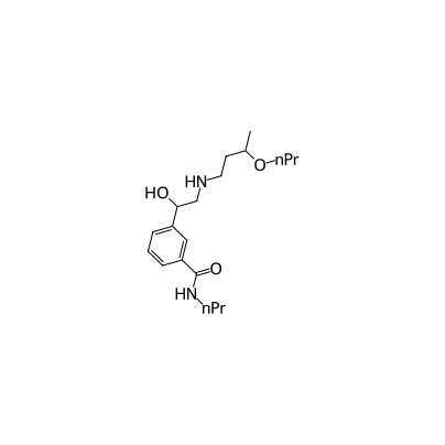 CCCNC(=O)c1cccc(C(O)CNCCC(C)OCCC)c1